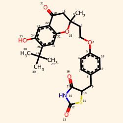 CC1(CCOc2ccc(CC3SC(=O)NC3=O)cc2)CC(=O)c2cc(O)c(C(C)(C)C)cc2O1